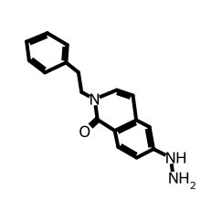 NNc1ccc2c(=O)n(CCc3ccccc3)ccc2c1